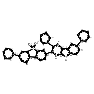 O=S1(=O)c2cc(-c3ccccc3)ccc2-c2ccc(-c3nc4oc5ccc(-c6ccccc6)cc5c4nc3-c3ccccc3)cc21